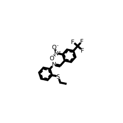 CCSc1ccccc1/N=C/c1ccc(C(F)(F)F)cc1[N+](=O)[O-]